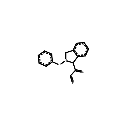 O=CC(=O)C1c2ccccc2CN1Sc1ccccc1